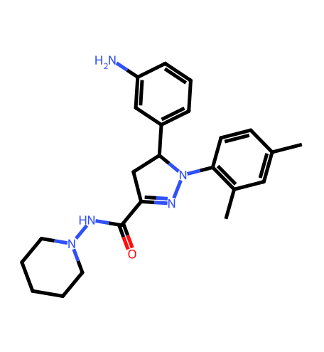 Cc1ccc(N2N=C(C(=O)NN3CCCCC3)CC2c2cccc(N)c2)c(C)c1